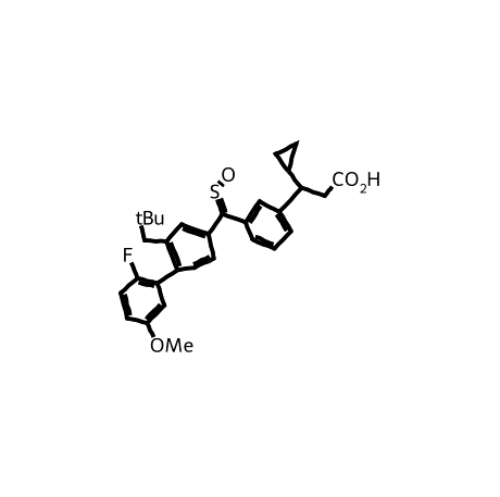 COc1ccc(F)c(-c2ccc(C(=S=O)c3cccc(C(CC(=O)O)C4CC4)c3)cc2CC(C)(C)C)c1